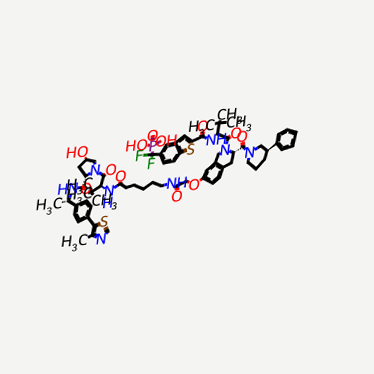 Cc1ncsc1-c1ccc([C@H](C)NC(=O)[C@@H]2C[C@@H](O)CN2C(=O)[C@@H](NC(=O)CCCCCNC(=O)COc2ccc3c(c2)CN(C(=O)[C@@H](NC(=O)c2cc4cc(C(F)(F)P(=O)(O)O)ccc4s2)C(C)(C)C)[C@H](C(=O)N2CCC[C@H](c4ccccc4)C2)C3)C(C)(C)C)cc1